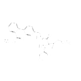 COC(=O)c1ccccc1-c1ccc(CNC(=O)C2(NC(=O)CC(F)(F)F)CC2COC(C)=O)cc1